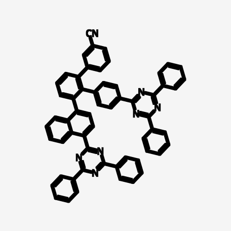 N#Cc1cccc(-c2cccc(-c3ccc(-c4nc(-c5ccccc5)nc(-c5ccccc5)n4)c4ccccc34)c2-c2ccc(-c3nc(-c4ccccc4)nc(-c4ccccc4)n3)cc2)c1